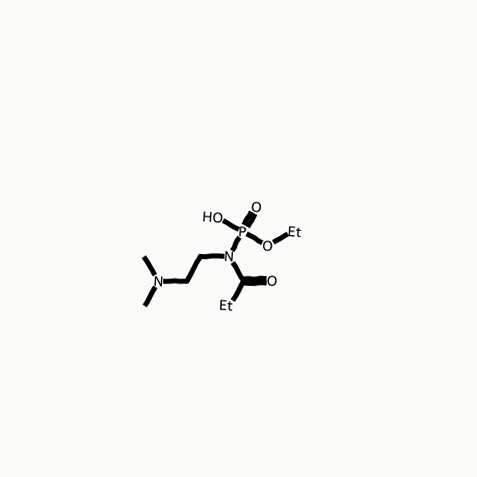 CCOP(=O)(O)N(CCN(C)C)C(=O)CC